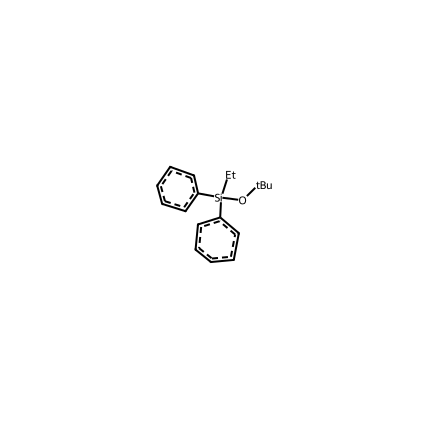 CC[Si](OC(C)(C)C)(c1ccccc1)c1ccccc1